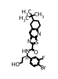 CC(C)(C)C1CCc2nc3sc(C(=O)N[C@H](CCO)c4ccc(Br)c(F)c4)nc3cc2C1